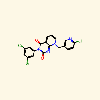 O=c1nc2n(Cc3ccc(Cl)nc3)cccc-2c(=O)n1-c1cc(Cl)cc(Br)c1